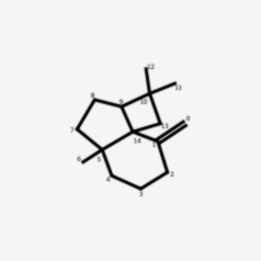 C=C1CCCC2(C)CCC3C(C)(C)CC132